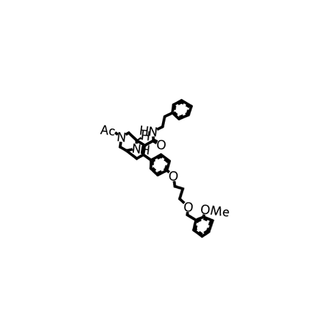 COc1ccccc1COCCCOc1ccc(C2=C(C(=O)NCCc3ccccc3)[C@H]3CN(C(C)=O)CC(C2)N3)cc1